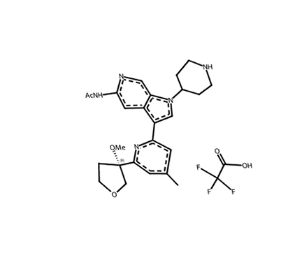 CO[C@@]1(c2cc(C)cc(-c3cn(C4CCNCC4)c4cnc(NC(C)=O)cc34)n2)CCOC1.O=C(O)C(F)(F)F